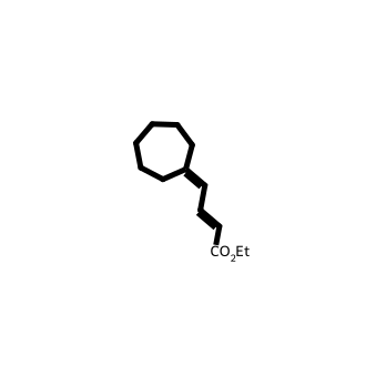 CCOC(=O)C=CC=C1CCCCCC1